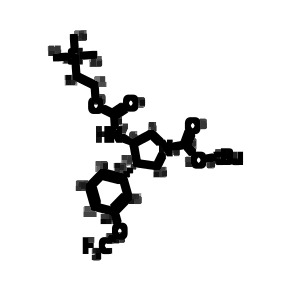 CC(C)(C)OC(=O)N1C[C@H](NC(=O)OCC[Si](C)(C)C)[C@@H](c2cccc(OC(F)(F)F)c2)C1